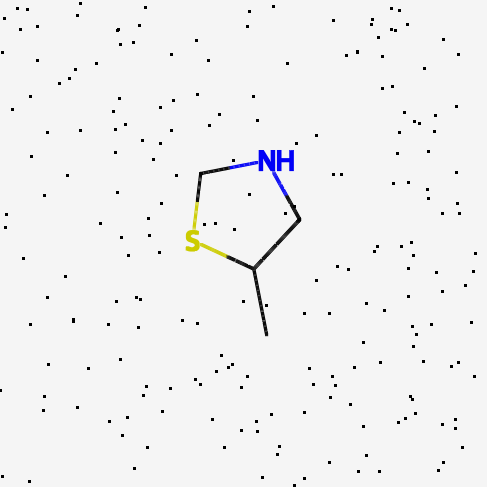 CC1CNCS1